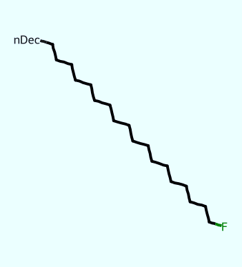 [CH2]CCCCCCCCCCCCCCCCCCCCCCCCCCCF